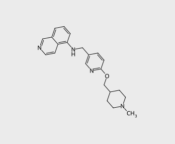 CN1CCC(COc2ccc(CNc3cccc4cnccc34)cn2)CC1